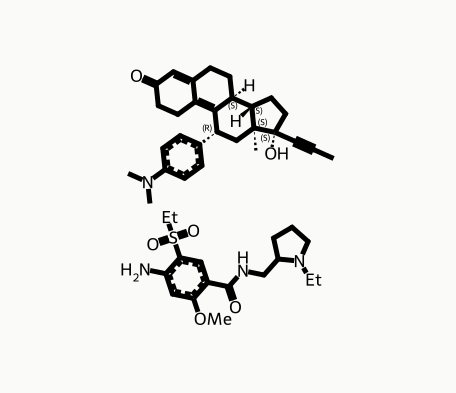 CC#C[C@]1(O)CC[C@H]2[C@@H]3CCC4=CC(=O)CCC4=C3[C@@H](c3ccc(N(C)C)cc3)C[C@@]21C.CCN1CCCC1CNC(=O)c1cc(S(=O)(=O)CC)c(N)cc1OC